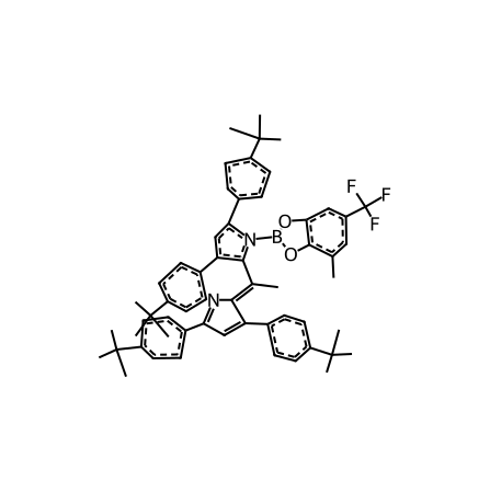 C/C(=C1/N=C(c2ccc(C(C)(C)C)cc2)C=C1c1ccc(C(C)(C)C)cc1)c1c(-c2ccc(C(C)(C)C)cc2)cc(-c2ccc(C(C)(C)C)cc2)n1B1Oc2cc(C(F)(F)F)cc(C)c2O1